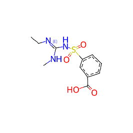 CC/N=C(\NC)NS(=O)(=O)c1cccc(C(=O)O)c1